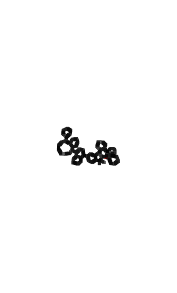 CC1(C)c2ccc(-c3ccc(-c4ccccccc(-c5ccccc5)c5ccccc45)c4ccccc34)cc2-c2c1c1c3ccccc3oc1c1ccccc21